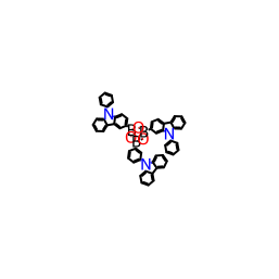 c1ccc(-n2c3ccccc3c3cc(B4OB(c5cccc(-n6c7ccccc7c7ccccc76)c5)OB(c5ccc6c7ccccc7n(-c7ccccc7)c6c5)O4)ccc32)cc1